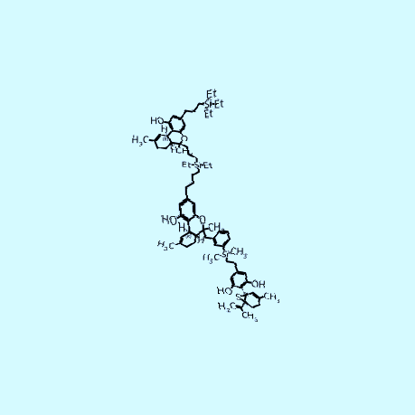 C=C(C)[C@]12CCC(C)=C[C@]1(c1c(O)cc(CC[Si](C)(C)c3cccc(CC4(C)Oc5cc(CCCC[Si](CC)(CC)CCCC6(C)Oc7cc(CCC[Si](CC)(CC)CC)cc(O)c7[C@@H]7C=C(C)CC[C@H]76)cc(O)c5[C@@H]5C=C(C)CC[C@H]54)c3)cc1O)S2